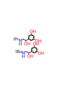 CC(C)(C)NCC(O)c1cc(O)cc(O)c1.CC(C)NCC(O)c1cc(O)cc(O)c1